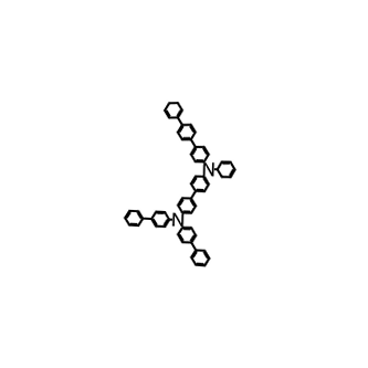 C1=CCC(N(c2ccc(-c3ccc(C4=CCCC=C4)cc3)cc2)c2ccc(-c3ccc(N(c4ccc(-c5ccccc5)cc4)c4ccc(-c5ccccc5)cc4)cc3)cc2)C=C1